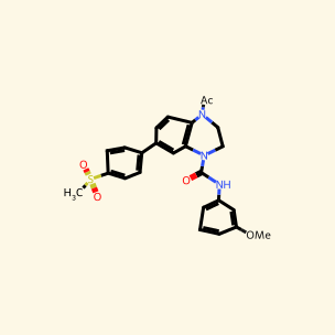 COc1cccc(NC(=O)N2CCN(C(C)=O)c3ccc(-c4ccc(S(C)(=O)=O)cc4)cc32)c1